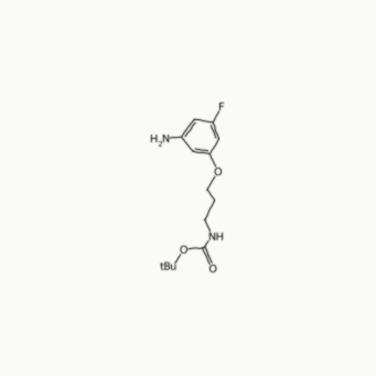 CC(C)(C)OC(=O)NCCCOc1cc(N)cc(F)c1